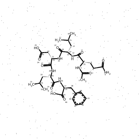 CC(=O)N[C@@H](CCC(N)=O)C(=O)N[C@@H](CC(C)C)C(=O)N[C@@H](CC(=O)O)C(=O)N[C@@H](CC(C)C)C(=O)N[C@@H](Cc1ccccc1)C(=O)O